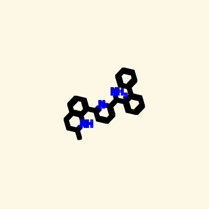 CC1CCc2cccc(-c3cccc(C(N)c4ccccc4-c4ccccc4)n3)c2N1